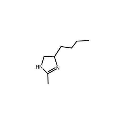 CCCCC1CNC(C)=N1